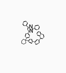 c1ccc(-c2cc(-c3ccc(C4(c5ccc(-c6cccc(-c7cccc8ccccc78)c6)cc5)CCCCC4)cc3)nc(-c3ccccc3)n2)cc1